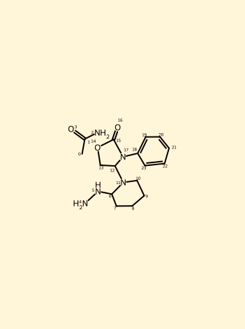 CC(N)=O.NNC1CCCCN1C1COC(=O)N1c1ccccc1